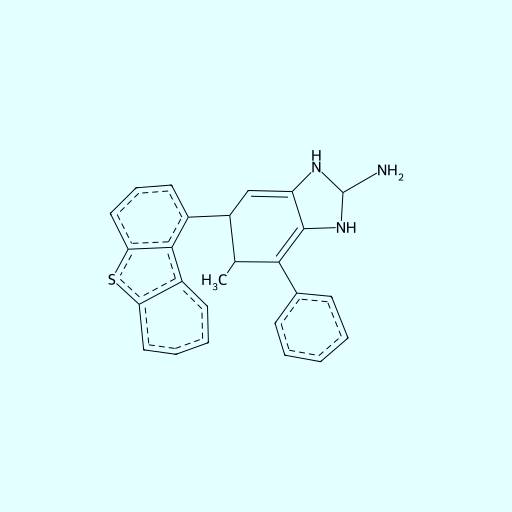 CC1C(c2ccccc2)=C2NC(N)NC2=CC1c1cccc2sc3ccccc3c12